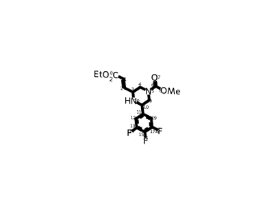 CCOC(=O)/C=C/C1CN(C(=O)OC)CC(c2cc(F)c(F)c(F)c2)N1